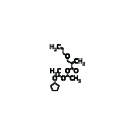 C=CCOCC(=C)C(=O)OC(C)OC(C)OC1CCCC1